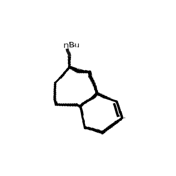 CCCCC1CCC2CC[C]=CC2C1